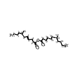 CC(C)CCCC(C)CC=CCCC(=O)OC(=O)CCCCCC(C)CCCC(C)C